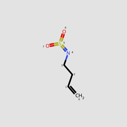 C=CCCN=S(=O)=O